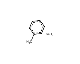 Cc1cc[c]cc1.[GeH4]